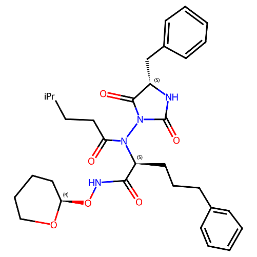 CC(C)CCC(=O)N([C@@H](CCCc1ccccc1)C(=O)NO[C@@H]1CCCCO1)N1C(=O)N[C@@H](Cc2ccccc2)C1=O